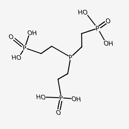 O=P(O)(O)CCP(CCP(=O)(O)O)CCP(=O)(O)O